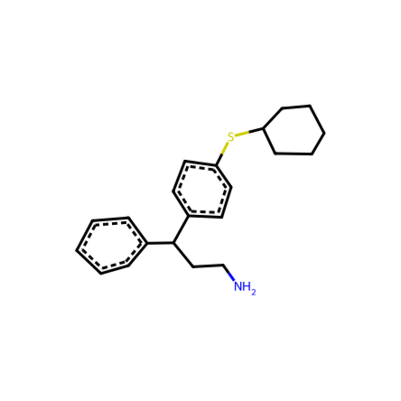 NCCC(c1ccccc1)c1ccc(SC2CCCCC2)cc1